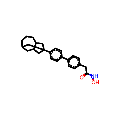 O=C(Cc1ccc(-c2ccc(C34CC5CCCC(C3)C(C5)C4)cc2)cc1)NO